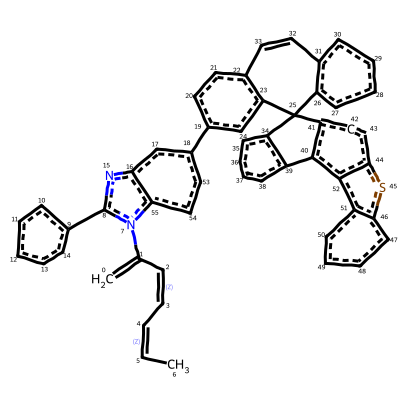 C=C(/C=C\C=C/C)n1c(-c2ccccc2)nc2cc(-c3ccc4c(c3)C3(c5ccccc5C=C4)c4ccccc4-c4c3ccc3sc5ccccc5c43)ccc21